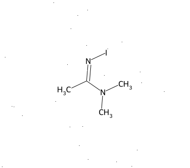 CC(=NI)N(C)C